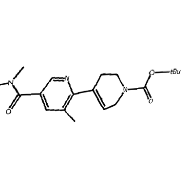 Cc1cc(C(=O)N(C)C)cnc1C1=CCN(C(=O)OC(C)(C)C)CC1